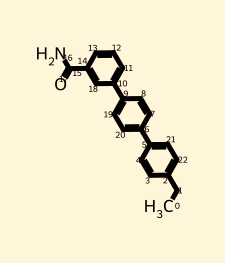 CCc1ccc(-c2ccc(-c3cccc(C(N)=O)c3)cc2)cc1